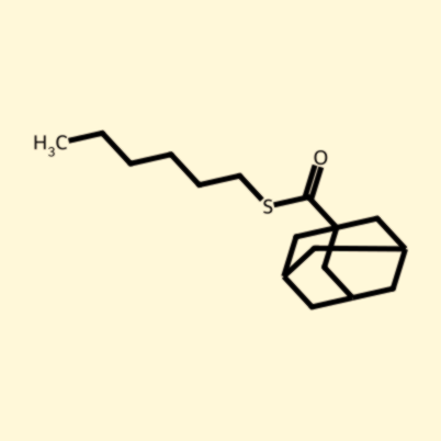 CCCCCCSC(=O)C12CC3CC(CC(C3)C1)C2